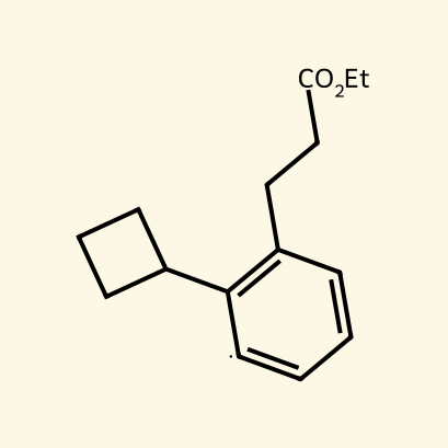 CCOC(=O)CCc1ccc[c]c1C1CCC1